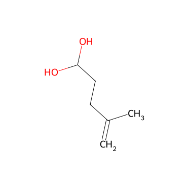 C=C(C)CCC(O)O